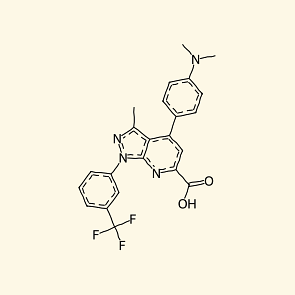 Cc1nn(-c2cccc(C(F)(F)F)c2)c2nc(C(=O)O)cc(-c3ccc(N(C)C)cc3)c12